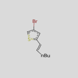 CCCC/C=C/c1cc(Br)cs1